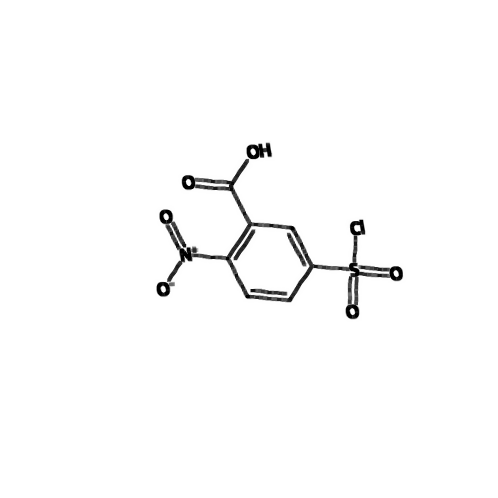 O=C(O)c1cc(S(=O)(=O)Cl)ccc1[N+](=O)[O-]